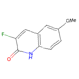 COc1ccc2[nH]c(=O)c(F)cc2c1